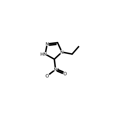 CCN1C=NNC1[N+](=O)[O-]